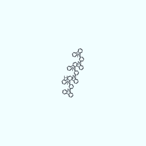 C1=C[C@H]2c3ccccc3N(c3cccc(-n4c5ccccc5c5ccccc54)c3)C2c2c1n(-c1cccc(-n3c4ccccc4c4ccc5c(c6ccccc6n5-c5cccc(-n6c7ccccc7c7ccccc76)c5)c43)c1)c1ccccc21